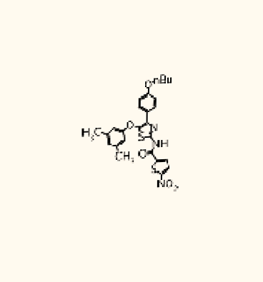 CCCCOc1ccc(-c2nc(NC(=O)c3ccc([N+](=O)[O-])s3)sc2Oc2cc(C)cc(C)c2)cc1